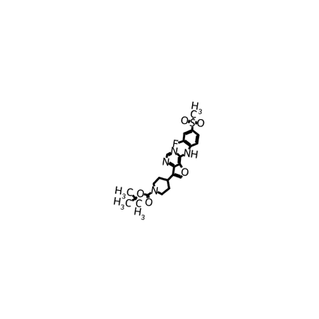 CC(C)(C)OC(=O)N1CCC(c2coc3c(Nc4ccc(S(C)(=O)=O)cc4F)ncnc23)CC1